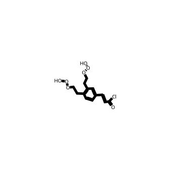 O=C(Cl)/C=C/c1ccc(CCOOO)c(CCOOO)c1